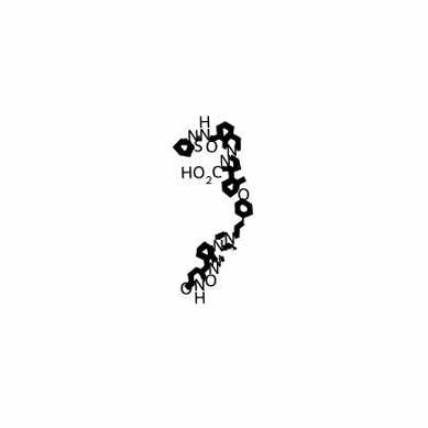 Cc1c(O[C@H]2CC[C@H](CCCN3CCN(c4cccc5c(C6CCC(=O)NC6=O)nn(C)c45)C[C@@H]3C)CC2)cccc1-c1ccc(N2CCc3cccc(C(=O)Nc4nc5ccccc5s4)c3C2)nc1C(=O)O